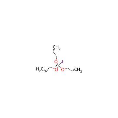 C=CC[O][Zr]([I])([O]CC=C)[O]CC=C